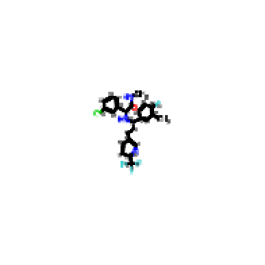 CNC(=O)C(N[C@H](CCc1ccc(C(F)(F)F)nc1)c1ccc(F)c(C)c1)c1cccc(Cl)c1